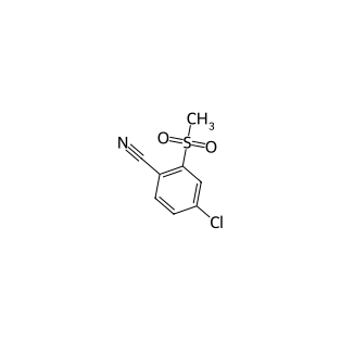 CS(=O)(=O)c1cc(Cl)ccc1C#N